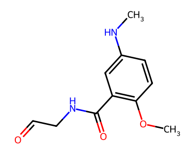 CNc1ccc(OC)c(C(=O)NCC=O)c1